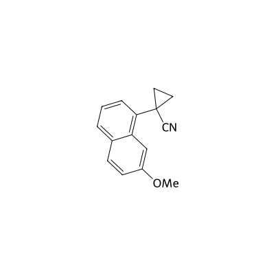 COc1ccc2cccc(C3(C#N)CC3)c2c1